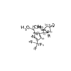 CC(C)n1nc(C(F)(F)F)cc1C1[C@H]2CC(=O)C[C@@H]12